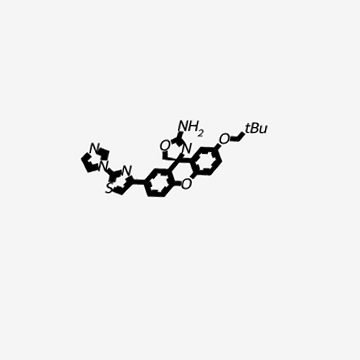 CC(C)(C)COc1ccc2c(c1)[C@]1(COC(N)=N1)c1cc(-c3csc(-n4ccnc4)n3)ccc1O2